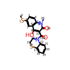 CSc1ccc2c(c1)c(O)c(C(=O)N1CCSc3ccccc31)c(=O)n2C